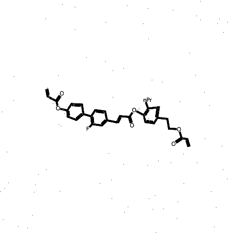 C=CC(=O)OCCc1ccc(OC(=O)/C=C/c2ccc(-c3ccc(OC(=O)C=C)cc3)c(F)c2)c(CCC)c1